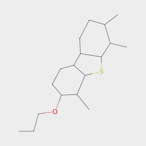 CCCOC1CCC2C3CCC(C)C(C)C3SC2C1C